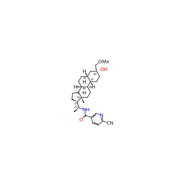 COC[C@@]1(O)CC[C@H]2[C@H](CC[C@@H]3[C@@H]2CC[C@]2(C)[C@@H]([C@H](C)NC(=O)c4ccc(C#N)nc4)CC[C@@H]32)C1